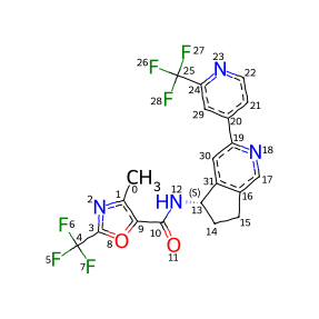 Cc1nc(C(F)(F)F)oc1C(=O)N[C@H]1CCc2cnc(-c3ccnc(C(F)(F)F)c3)cc21